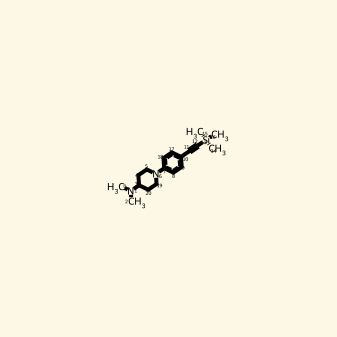 CN(C)C1CCN(c2ccc(C#C[Si](C)(C)C)cc2)CC1